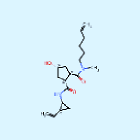 C=CCCCCN(C)C(=O)[C@@H]1C[C@@H](O)C[C@H]1C(=O)NC1C[C@H]1C=C